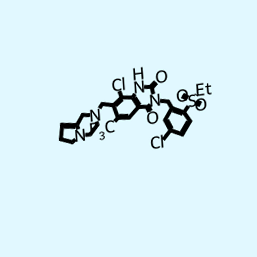 CCS(=O)(=O)c1ccc(Cl)cc1Cn1c(=O)[nH]c2c(Cl)c(CN3CCN4CCC=C4C3)c(C(F)(F)F)cc2c1=O